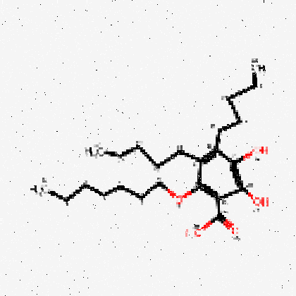 CCCCCCCOc1c(CCCCC)c(CCCCC)c(O)c(O)c1C(=O)O